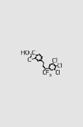 O=C(O)c1ccc(CC=C(c2cc(Cl)c(Cl)c(Cl)c2)C(F)(F)F)cc1Cl